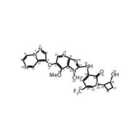 COc1c(Oc2cnn3ccncc23)cnc2nc(Nc3cc(C(F)(F)F)cn([C@@H]4CC[C@@H]4O)c3=O)n(C)c12